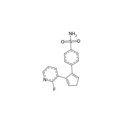 NS(=O)(=O)c1ccc(C2=CCC=C2c2cccnc2F)cc1